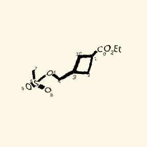 CCOC(=O)C1CC(COS(C)(=O)=O)C1